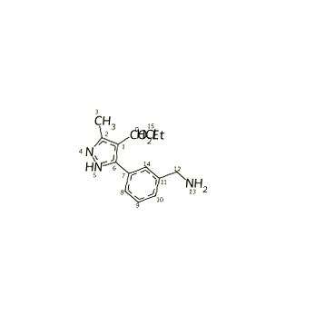 CCOC(=O)c1c(C)n[nH]c1-c1cccc(CN)c1.Cl